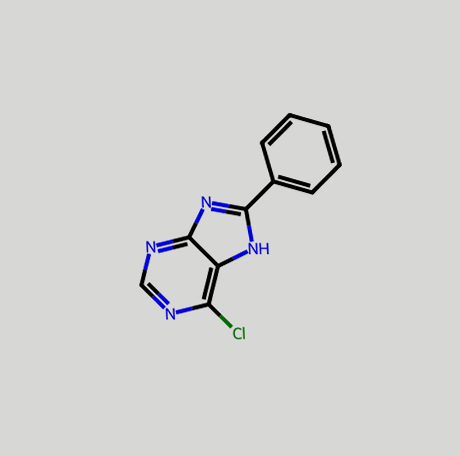 Clc1ncnc2nc(-c3ccccc3)[nH]c12